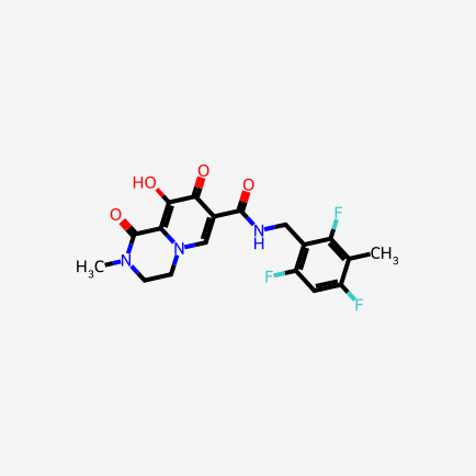 Cc1c(F)cc(F)c(CNC(=O)c2cn3c(c(O)c2=O)C(=O)N(C)CC3)c1F